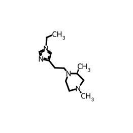 CCn1cnc(CCN2CCN(C)C[C@@H]2C)c1